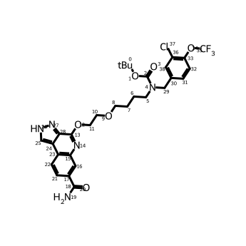 CC(C)(C)OC(=O)N(CCCCOCCOc1nc2cc(C(N)=O)ccc2c2c[nH]nc12)Cc1ccc(OC(F)(F)F)c(Cl)c1